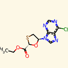 CCOC(=O)[C@H]1O[C@H](n2cnc3c(Cl)ncnc32)CS1